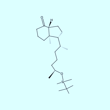 C[C@H](CCC[C@H](C)O[Si](C)(C)C(C)(C)C)[C@H]1CC[C@H]2C(=O)CCC[C@]12C